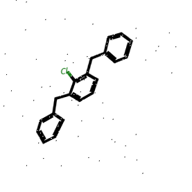 Clc1c(Cc2ccccc2)c[c]cc1Cc1ccccc1